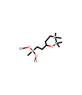 CCO[Si](C)(CCC1CC[Si](C)(C)[Si](C)(C)O1)OCC